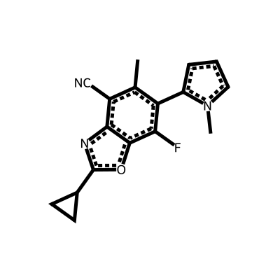 Cc1c(-c2cccn2C)c(F)c2oc(C3CC3)nc2c1C#N